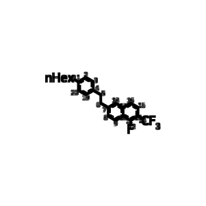 CCCCCCc1ccc(CCc2ccc3c(F)c(C(F)(F)F)ccc3c2)cc1